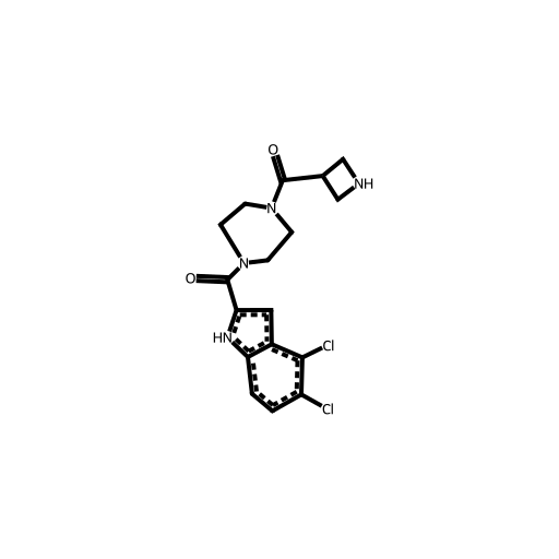 O=C(c1cc2c(Cl)c(Cl)ccc2[nH]1)N1CCN(C(=O)C2CNC2)CC1